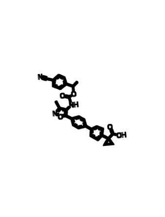 Cc1noc(-c2ccc(-c3ccc(C4(C(=O)O)CC4)cc3)cc2)c1NC(=O)OC(C)c1ccc(C#N)cc1